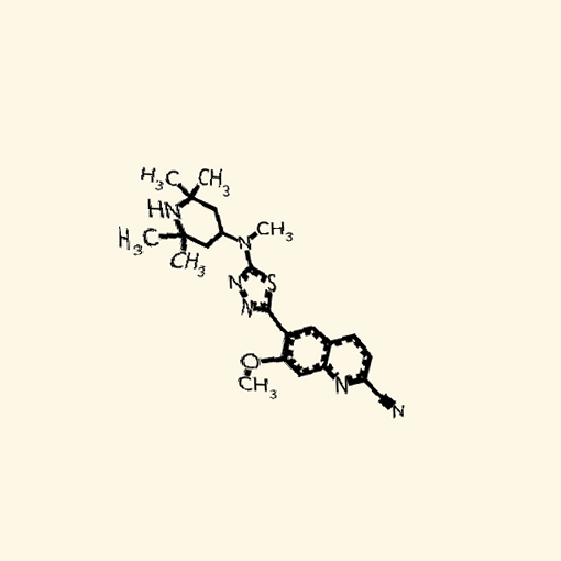 COc1cc2nc(C#N)ccc2cc1-c1nnc(N(C)C2CC(C)(C)NC(C)(C)C2)s1